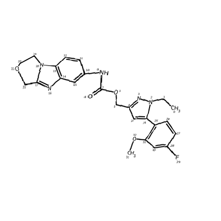 CCn1nc(COC(=O)Nc2ccc3c(c2)nc2n3CCOC2)cc1-c1ccc(F)cc1OC